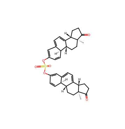 C[C@]12CC[C@H]3C(=CC=C4C=C(OS(=O)(=O)OC5=CC6=CC=C7[C@H](CC[C@]8(C)C(=O)CC[C@@H]78)[C@H]6C=C5)C=C[C@@H]43)[C@@H]1CCC2=O